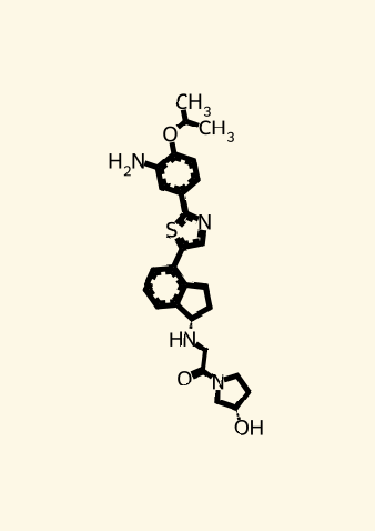 CC(C)Oc1ccc(-c2ncc(-c3cccc4c3CC[C@@H]4NCC(=O)N3CC[C@H](O)C3)s2)cc1N